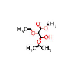 C=CC.CCOC(C(=O)O)C(=O)OC